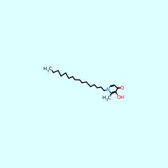 CCCCCCCCCCCCCCCCn1ccc(=O)c(O)c1C